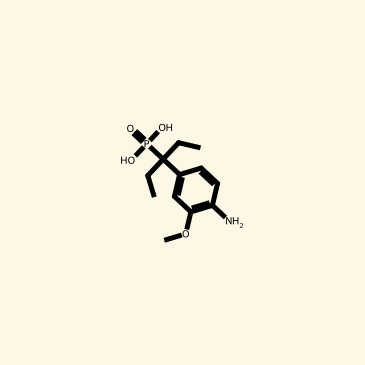 CCC(CC)(c1ccc(N)c(OC)c1)P(=O)(O)O